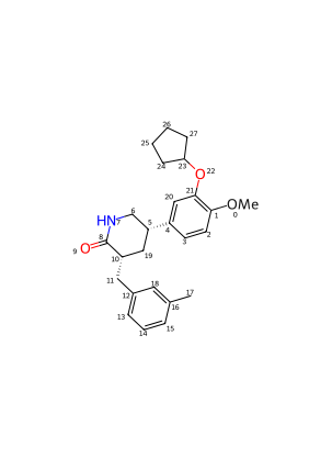 COc1ccc([C@H]2CNC(=O)[C@@H](Cc3cccc(C)c3)C2)cc1OC1CCCC1